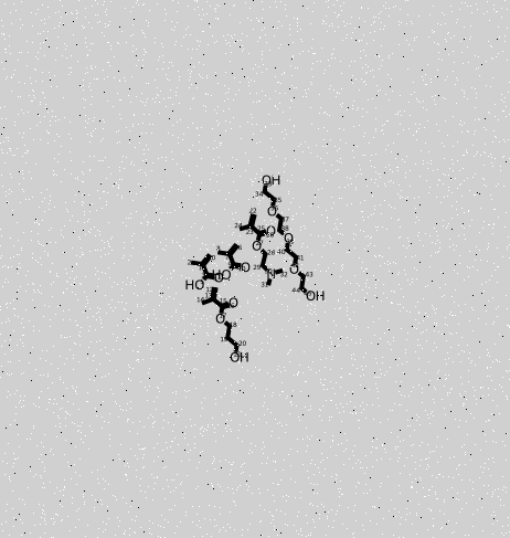 C=C(C)C(=O)O.C=C(C)C(=O)O.C=C(C)C(=O)OCCCO.C=C(C)C(=O)OCCN(C)C.OCCOCCOCCOCCO